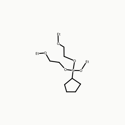 CCOCCO[Si](OCC)(OCCOCC)C1CCCC1